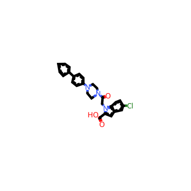 O=C(O)c1cc2cc(Cl)ccc2n1CC(=O)N1CCN(c2ccc(-c3ccccc3)cc2)CC1